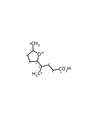 CC1CCC(C(C)CCC(=O)O)O1